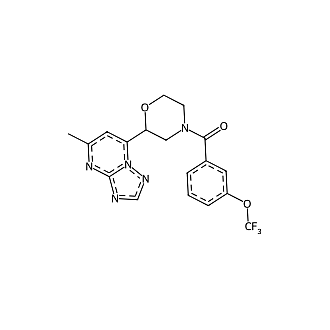 Cc1cc(C2CN(C(=O)c3cccc(OC(F)(F)F)c3)CCO2)n2ncnc2n1